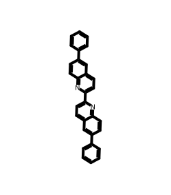 c1ccc(-c2ccc3nc(-c4ccc5cc(-c6ccccc6)ccc5n4)ccc3c2)cc1